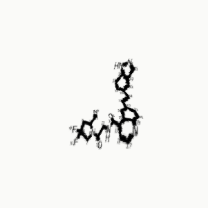 N#CC1CC(F)(F)CN1C(=O)CNC(=O)c1ccnc2ccc(/C=C/c3ccc4[nH]ncc4c3)cc12